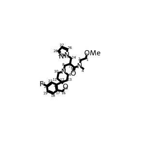 COCCN(C)C(=O)C(CN1CCC2(CC1)OCc1ccc(F)cc12)Cn1cccn1